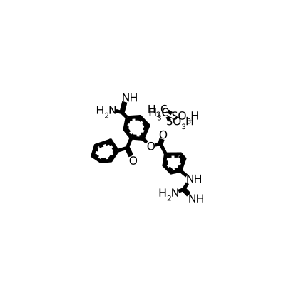 CS(=O)(=O)O.CS(=O)(=O)O.N=C(N)Nc1ccc(C(=O)Oc2ccc(C(=N)N)cc2C(=O)c2ccccc2)cc1